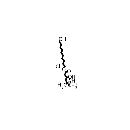 C[N+](C)(C)CC(O)CC(=O)OCCCCCCCCCCO.[Cl-]